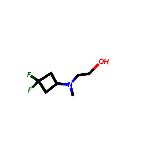 CN(CCO)C1CC(F)(F)C1